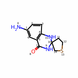 Nc1ccc2c(c1)C(=O)NC1(CCSC1)N2